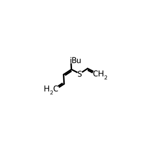 C=C/C=C(\SC=C)C(C)CC